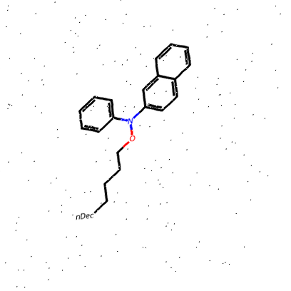 CCCCCCCCCCCCCCON(c1ccccc1)c1ccc2ccc[c]c2c1